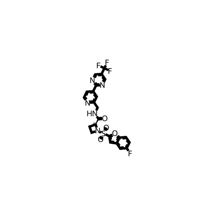 O=C(NCc1cc(-c2ncc(C(F)(F)F)cn2)ccn1)[C@@H]1CCN1S(=O)(=O)c1cc2cc(F)ccc2o1